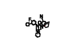 N#Cc1cccc([C@]23CC[C@@H](N(CCN4CC=CCC4)C(=O)Nc4ccc(F)c(Cl)c4)CC2C3)c1